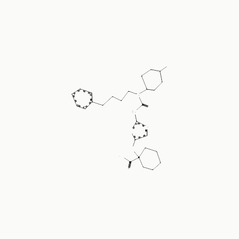 CC1CCC(N(CCCCc2ccccc2)C(=O)Nc2ncc(SC3(C(=O)O)CCCCC3)s2)CC1